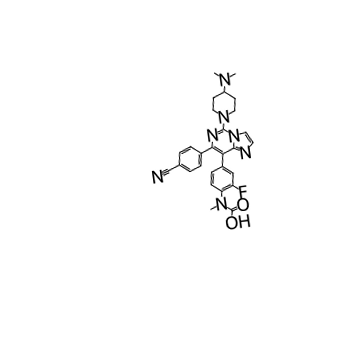 CN(C(=O)O)c1ccc(-c2c(-c3ccc(C#N)cc3)nc(N3CCC(N(C)C)CC3)n3ccnc23)cc1F